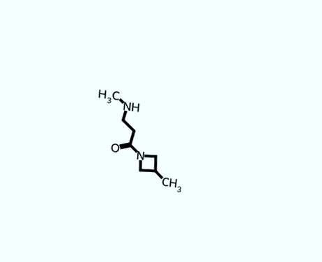 CNCCC(=O)N1CC(C)C1